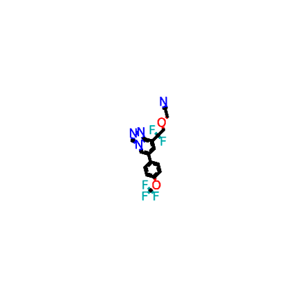 N#CCOCC(F)(F)c1cc(-c2ccc(OC(F)(F)F)cc2)cn2cnnc12